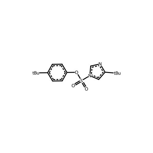 CC(C)(C)c1ccc(OS(=O)(=O)n2cnc(C(C)(C)C)c2)cc1